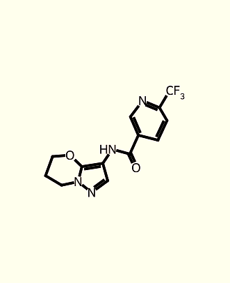 O=C(Nc1cnn2c1OCCC2)c1ccc(C(F)(F)F)nc1